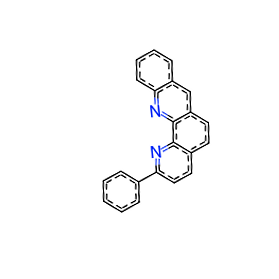 c1ccc(-c2ccc3ccc4cc5ccccc5nc4c3n2)cc1